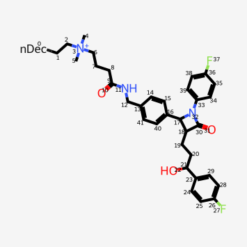 CCCCCCCCCCCC[N+](C)(C)CCCC(=O)NCc1ccc(C2C(CCC(O)c3ccc(F)cc3)C(=O)N2c2ccc(F)cc2)cc1